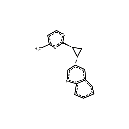 Cc1ccnc([C@H]2C[C@@H]2c2cnc3ccccc3c2)n1